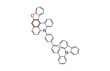 c1ccc(N(c2ccc(-c3ccc(-c4ccccc4-n4c5ccccc5c5ccccc54)cc3)cc2)c2cccc3ccccc23)c(-c2cccc3oc4ccccc4c23)c1